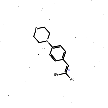 CC(=O)/C(=C/c1ccc(N2CCOCC2)cc1)C(C)C